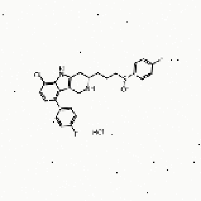 Cl.[O-][S+](CCCC1Cc2[nH]c3c(Cl)ccc(-c4ccc(F)cc4)c3c2CN1)c1ccc(F)cc1